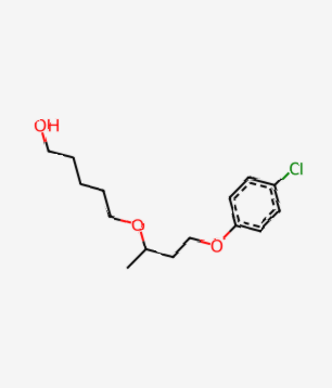 CC(CCOc1ccc(Cl)cc1)OCCCCCO